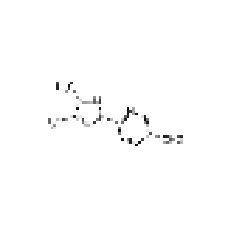 Cc1cn(-c2ccc(C=O)cn2)nc1C